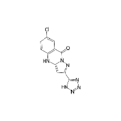 O=c1c2cc(Cl)ccc2[nH]c2cc(-c3nnn[nH]3)nn12